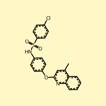 Cc1cc(Oc2ccc(NS(=O)(=O)c3ccc(Cl)cc3)cc2)nc2ccccc12